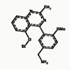 CCOc1cccc2nc(C)nc(-c3cc(CN)ccc3OC)c12